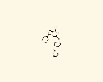 O=c1[nH]c(CN2CCC(Oc3ncccn3)C2)cn2c(C3CCOCC3)ncc12